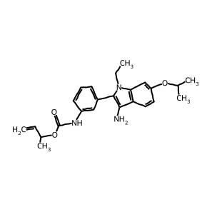 C=CC(C)OC(=O)Nc1cccc(-c2c(N)c3ccc(OC(C)C)cc3n2CC)c1